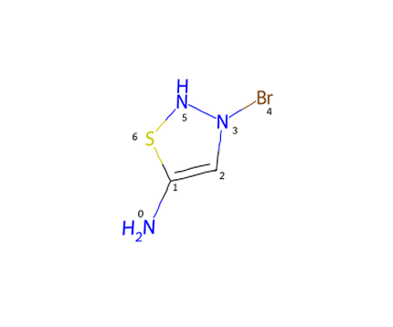 NC1=CN(Br)NS1